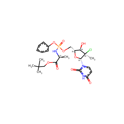 C[C@H](NP(=O)(OC[C@H]1O[C@@H](n2ccc(=O)[nH]c2=O)[C@](C)(Cl)[C@@H]1O)Oc1ccccc1)C(=O)OCC(C)(C)C